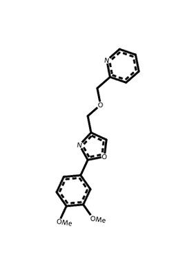 COc1ccc(-c2nc(COCc3ccccn3)co2)cc1OC